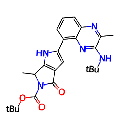 Cc1nc2cccc(-c3cc4c([nH]3)C(C)N(C(=O)OC(C)(C)C)C4=O)c2nc1NC(C)(C)C